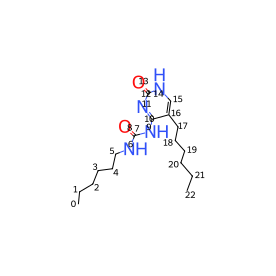 CCCCCCNC(=O)Nc1nc(=O)[nH]cc1CCCCCC